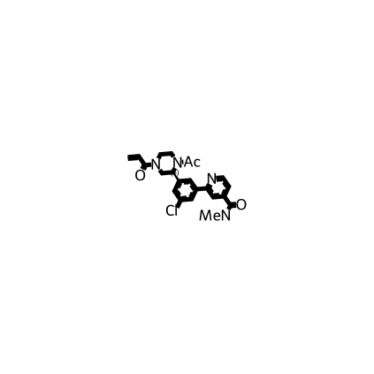 C=CC(=O)N1CCN(C(C)=O)[C@@H](c2cc(Cl)cc(-c3cc(C(=O)NC)ccn3)c2)C1